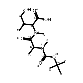 CC(CO)C(C(=O)O)N(C)C(=O)C(C)N(C)C(=O)OC(C)(C)C